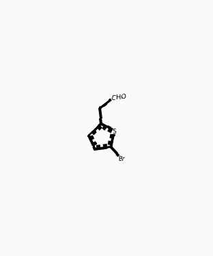 O=CCc1ccc(Br)s1